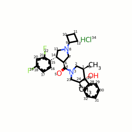 C[C@@H]1CN(C(=O)[C@@H]2CN(C3CCC3)C[C@H]2c2ccc(F)cc2F)C[C@H](C)[C@]1(O)c1ccccc1.Cl